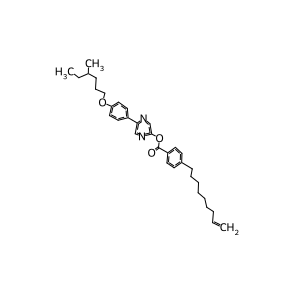 C=CCCCCCCCc1ccc(C(=O)Oc2cnc(-c3ccc(OCCCC(C)CC)cc3)cn2)cc1